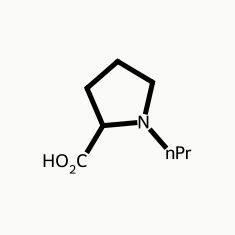 [CH2]CCN1CCCC1C(=O)O